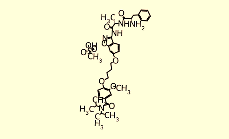 COc1cc(C(=O)N(C(C)C)C(C)C)ccc1OCCCCOc1ccc2c(NC(=O)[C@H](C)NC(=O)[C@@H](N)Cc3ccccc3)noc2c1.CS(=O)(=O)O